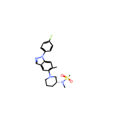 Cc1cc2c(cnn2-c2ccc(F)cc2)cc1N1CCC[C@@H](N(C)S(C)(=O)=O)C1